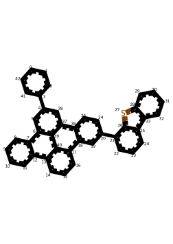 c1ccc(-c2cc3c4ccccc4c4cccc5c6cc(-c7cccc8c7sc7ccccc78)ccc6c(c2)c3c45)cc1